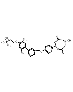 Cc1cc(-c2cccc(COc3ccc(B4OC(=O)CN(C)CC(=O)O4)cc3)c2)c(C)cc1OCCC(C)(C)O